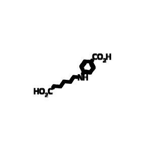 O=C(O)CCCCCNc1ccc(C(=O)O)cc1